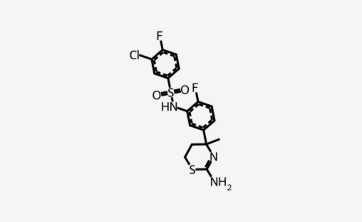 CC1(c2ccc(F)c(NS(=O)(=O)c3ccc(F)c(Cl)c3)c2)CCSC(N)=N1